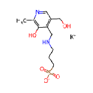 Cc1ncc(CO)c(CNCCCS(=O)(=O)[O-])c1O.[K+]